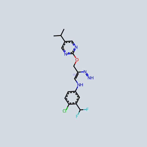 CC(C)c1cnc(OC/C(=C/Nc2ccc(Cl)c(C(F)F)c2)N=N)nc1